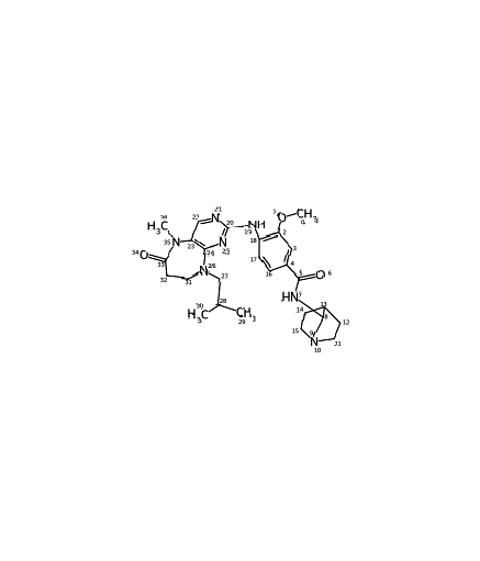 COc1cc(C(=O)NC2CN3CCC2CC3)ccc1Nc1ncc2c(n1)N(CC(C)C)CCC(=O)N2C